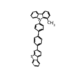 Cc1cccc2c3ccccc3n(-c3ccc(-c4ccc(-c5ccc6c(c5)sc5ccccc56)cc4)cc3)c12